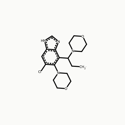 [CH2]CC(c1c(N2CCOCC2)c(Cl)cc2[nH]cnc12)N1CCOCC1